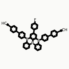 C#Cc1ccc(-c2ccc(B3c4ccccc4N4c5ccccc5B(c5ccc(-c6ccc(C#C)cc6)cc5)c5cc(-c6ccc(F)cc6)cc3c54)cc2)cc1